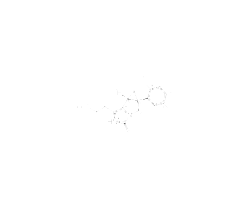 O=C(O)CCc1[nH]c(=S)n2c1[C@@H]1C[C@]1(c1cc(Cl)ccc1F)C2